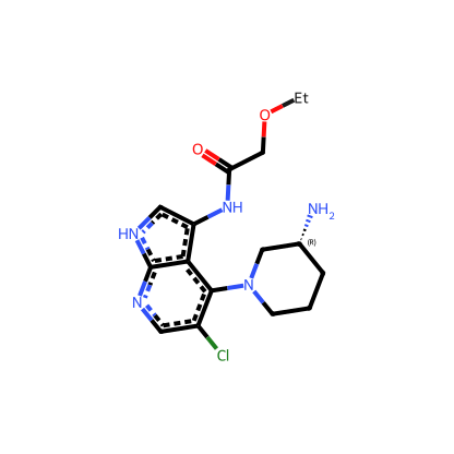 CCOCC(=O)Nc1c[nH]c2ncc(Cl)c(N3CCC[C@@H](N)C3)c12